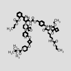 C=CCOC(=O)NCCCC[C@H](NC(=O)C1(C(=O)OCC)CCC1)C(=O)Nc1ccc(COC(=O)Nc2nnc(-c3ccccc3OC(=O)OCC=C)cc2N2CCN(c3ccnc(OC4CC(OC5CCN(C(=O)OC(C)(C)C)CC5)C4)c3)C3(COC3)C2)cc1